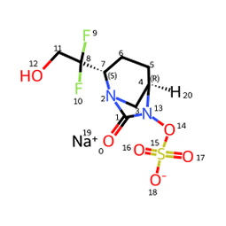 O=C1N2C[C@@H](CC[C@H]2C(F)(F)CO)N1OS(=O)(=O)[O-].[Na+]